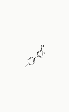 CCc1cc(-c2ccc(C)cc2)no1